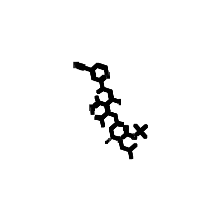 C=C(C/C(C(=C)C)=C(C(/C)=N\C)\C(I)=C/C(C)c1cc(C#N)ccn1)C[C@@H](C)N(CC(C)C)C(=O)OC(C)(C)C